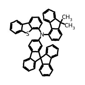 CC1(C)c2ccccc2-c2c(N(c3ccc4c(c3)C3(c5ccccc5-c5ccccc53)c3ccccc3-4)c3cccc4c3sc3ccccc34)cccc21